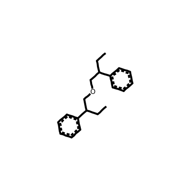 CCC(COCC(CC)c1ccccc1)c1ccccc1